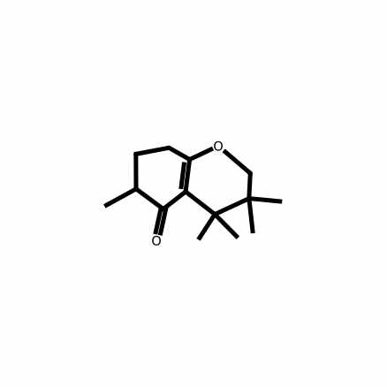 CC1CCC2=C(C1=O)C(C)(C)C(C)(C)CO2